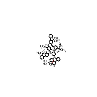 CC(C)(C)c1ccc(N(c2ccc3c(c2)N(c2ccc4c(c2)C(C)(C)c2ccccc2-4)c2cc(C(C)(C)C)cc4c2B3c2cc(C(C)(C)C)ccc2N4c2ccc3c(c2)C(C)(C)c2ccccc2-3)c2ccccc2-c2ccccc2)cc1